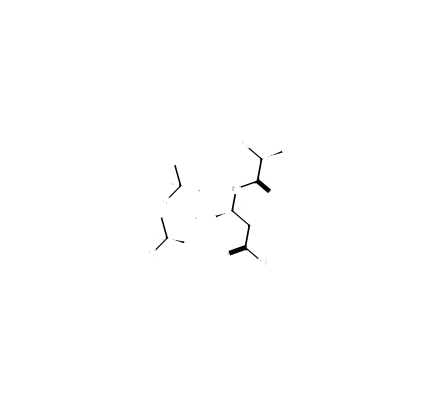 C[C@@H](N)C(=O)O.C[C@H](N)C(=O)N[C@@H](CC(N)=O)C(=O)O.C[C@H](N)C(=O)O